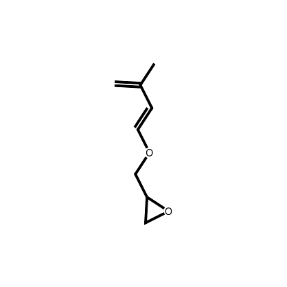 C=C(C)C=COCC1CO1